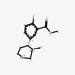 COC(=O)c1cc([C@H]2CCNC[C@@H]2C)ccc1F